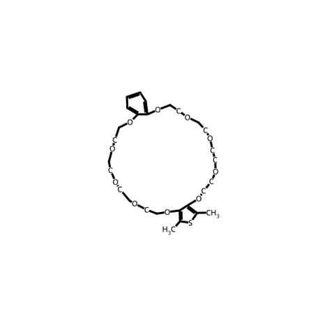 Cc1sc(C)c2c1OCCOCCOCCOCCOc1ccccc1OCCOCCOCCOCCO2